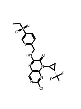 CCS(=O)(=O)c1ccc(CNc2nc3cnc(Cl)nc3n([C@H]3C[C@@H]3C(F)(F)F)c2=O)nc1